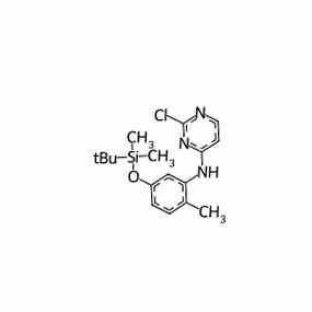 Cc1ccc(O[Si](C)(C)C(C)(C)C)cc1Nc1ccnc(Cl)n1